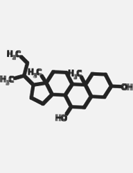 CCC(C)C1CCC2C3C(O)CC4CC(O)CCC4(C)C3CCC12C